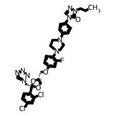 CCCn1ncn(-c2ccc(N3CCN(c4ccc(OC[C@@H]5CO[C@@](Cn6cnnn6)(c6ccc(Cl)cc6Cl)O5)cc4F)CC3)cc2)c1=O